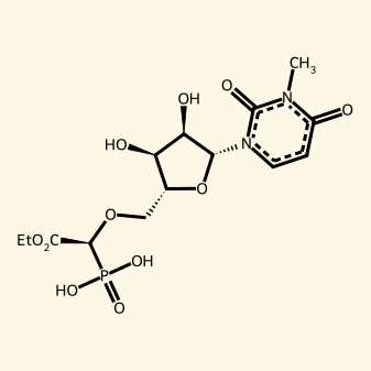 CCOC(=O)[C@@H](OC[C@H]1O[C@@H](n2ccc(=O)n(C)c2=O)[C@H](O)[C@@H]1O)P(=O)(O)O